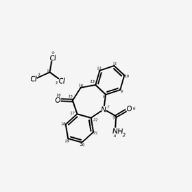 ClC(Cl)Cl.NC(=O)N1c2ccccc2CC(=O)c2ccccc21